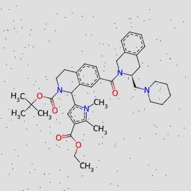 CCOC(=O)c1cc(C2c3cc(C(=O)N4Cc5ccccc5C[C@H]4CN4CCCCC4)ccc3CCN2C(=O)OC(C)(C)C)n(C)c1C